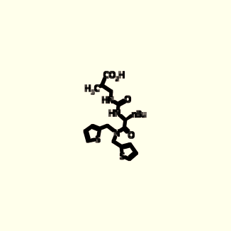 CCCC[C@H](NC(=O)NCC(C)C(=O)O)C(=O)N(Cc1cccs1)Cc1cccs1